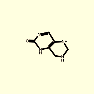 O=c1ncc2c([nH]1)CNCN2